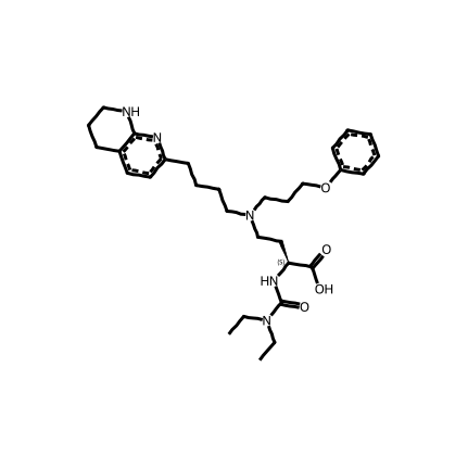 CCN(CC)C(=O)N[C@@H](CCN(CCCCc1ccc2c(n1)NCCC2)CCCOc1ccccc1)C(=O)O